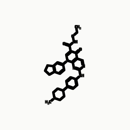 CCONC(=O)c1cn(-c2ccc3c(c2)CCC3)c2nc(Nc3ccc(C4CCN(C)CC4)cc3)ncc2c1=O